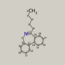 CCCCCC1=NCc2ccccc2-c2ccccc21